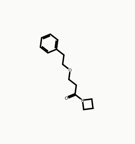 O=C(CCOCCc1ccccc1)N1C[CH]C1